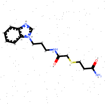 NC(=O)CCSCC(=O)NCCCn1cnc2ccccc21